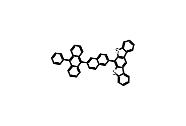 c1ccc(-c2c3ccccc3c(-c3ccc4cc(-c5c6sc7ccccc7c6cc6c5sc5ccccc56)ccc4c3)c3ccccc23)cc1